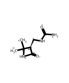 BC(=O)NC[C@H]1C(=O)NC1(C)C